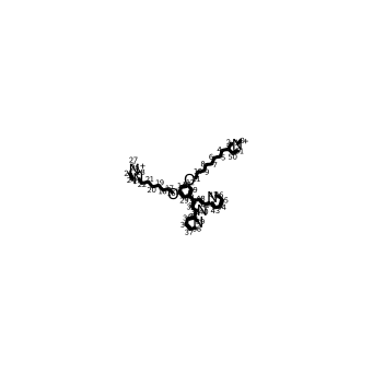 C[N+]1=CC(CCCCCCCCOc2cc(OCCCCCCn3cc[n+](C)c3)cc(-c3cc(-c4ccccn4)nc(-c4ccccn4)c3)c2)C=C1